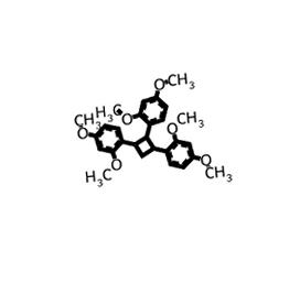 COc1ccc(C2CC(c3ccc(OC)cc3OC)C2c2ccc(OC)cc2OC)c(OC)c1